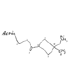 CC(=O)NCCOC1CC(C)(C)C1